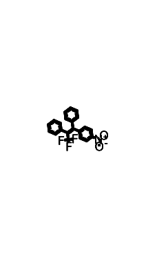 O=[N+]([O-])c1ccc(C(=C(c2ccccc2)C(F)(F)F)c2ccccc2)cc1